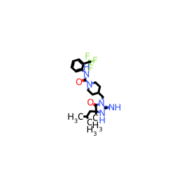 CC(C)CC1(C)NC(=N)N(CC2CCN(C(=O)Nc3ccccc3C(F)(F)F)CC2)C1=O